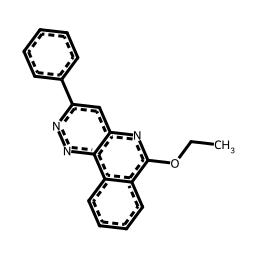 CCOc1nc2cc(-c3ccccc3)nnc2c2ccccc12